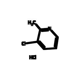 Cc1ncccc1Cl.Cl